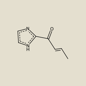 CC=CC(=O)c1ncc[nH]1